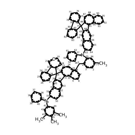 Cc1ccc(Cc2cccc3c4c(ccc23)C2(c3ccccc3-c3ccccc32)c2cc3cc(N(c5ccccc5)c5cc(C)c(C)c(C)c5)ccc3cc2-4)c(N(c2ccccc2)c2ccc3cc4c(cc3c2)C2(c3ccccc3-c3ccccc32)c2ccc3ccccc3c2-4)c1